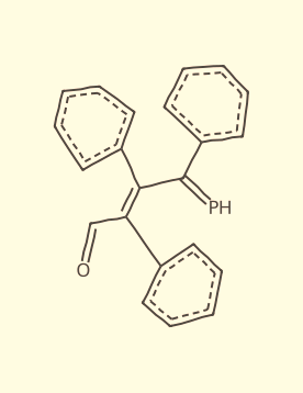 O=C/C(=C(/C(=P)c1ccccc1)c1ccccc1)c1ccccc1